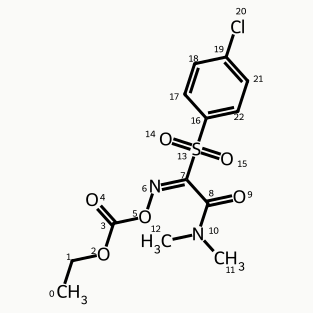 CCOC(=O)ON=C(C(=O)N(C)C)S(=O)(=O)c1ccc(Cl)cc1